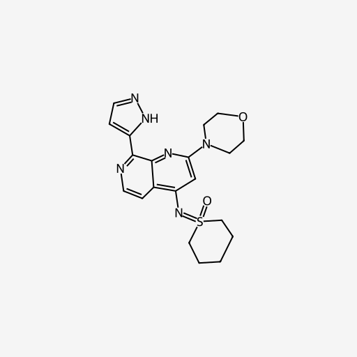 O=S1(=Nc2cc(N3CCOCC3)nc3c(-c4ccn[nH]4)nccc23)CCCCC1